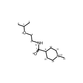 CC(C)OCCNC(=O)C1CCN(C)CC1